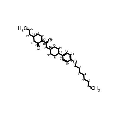 CCCCCCCCOc1ccc(C2CCC(CC(=O)C3CCC(CCC)CC3=O)CC2)cc1